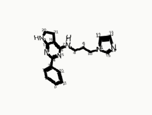 c1ccc(-c2nc(NCCCn3ccnc3)c3c(n2)NCC3)cc1